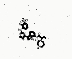 CCC(C(=O)Nc1cccc2c(-c3nc(Nc4cccc(S(C)(=O)=O)c4F)ncc3F)c[nH]c12)N1CCCN(C)CC1